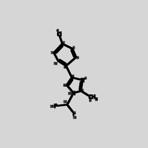 Cc1nc(-c2ccc(Cl)cc2)cn1C(F)F